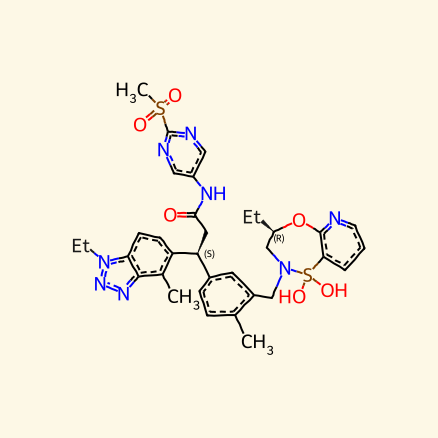 CC[C@@H]1CN(Cc2cc([C@H](CC(=O)Nc3cnc(S(C)(=O)=O)nc3)c3ccc4c(nnn4CC)c3C)ccc2C)S(O)(O)c2cccnc2O1